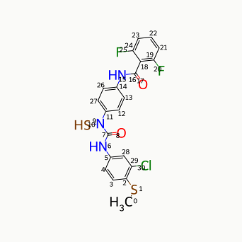 CSc1ccc(NC(=O)N(S)c2ccc(NC(=O)c3c(F)cccc3F)cc2)cc1Cl